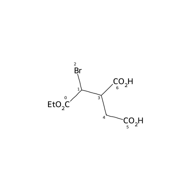 CCOC(=O)C(Br)C(CC(=O)O)C(=O)O